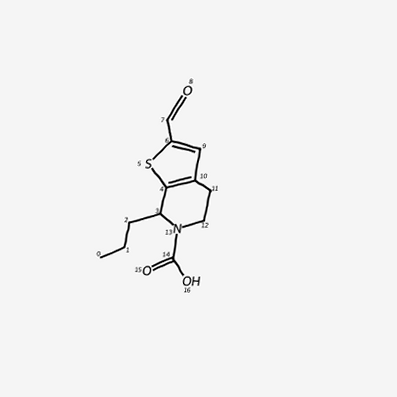 CCCC1c2sc(C=O)cc2CCN1C(=O)O